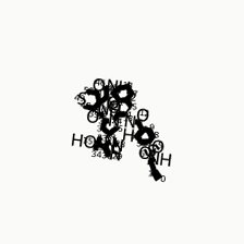 C#CCNS(=O)(=O)c1ccc(C(=O)N[C@H](CC2CCCCC2)C(=O)N2C[C@@H](n3nncc3C(C)(C)O)C[C@H]2C(=O)NC2(C(=O)C(N)=O)CCSCC2)cc1